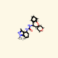 Cc1nn(C(=O)O)c2cccc(NC(=O)NC3CC4(CCOCC4)Oc4ccccc43)c12